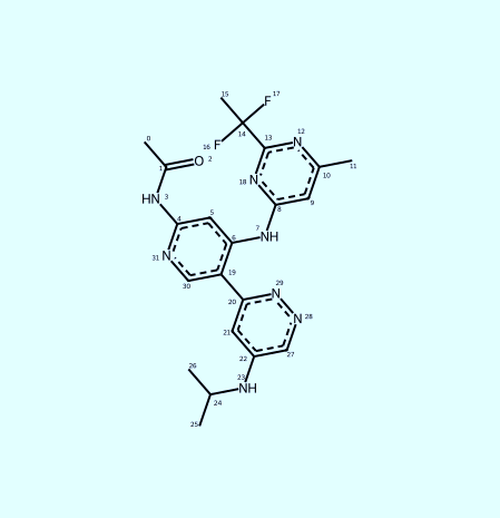 CC(=O)Nc1cc(Nc2cc(C)nc(C(C)(F)F)n2)c(-c2cc(NC(C)C)cnn2)cn1